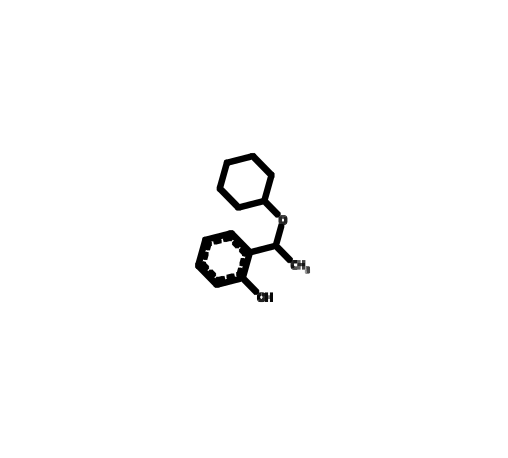 CC(OC1CCCCC1)c1ccccc1O